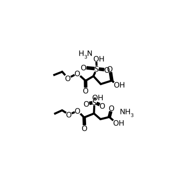 CCOOC(=O)C(CC(=O)O)S(=O)(=O)O.CCOOC(=O)C(CC(=O)O)S(=O)(=O)O.N.N